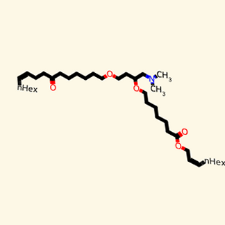 CCCCCC/C=C\CCC(=O)CCCCCCOCCC(CN(C)C)OCCCCCCC(=O)OC/C=C\CCCCCC